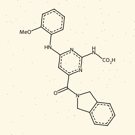 COc1ccccc1Nc1cc(C(=O)N2Cc3ccccc3C2)nc(NC(=O)O)n1